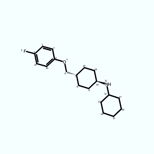 Fc1ccc(OC[C@H]2CC[C@H](NC3CCCCC3)CC2)cc1